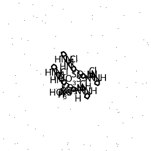 Cc1ccccc1Nc1nc(Cl)nc(Nc2ccc(C=Cc3ccc(Nc4nc(Cl)nc(Nc5ccccc5C)n4)cc3S(=O)(=O)O)c(S(=O)(=O)O)c2)n1.Cc1ccccc1Nc1nc(Cl)nc(Nc2ccc(C=Cc3ccc(Nc4nc(Cl)nc(Nc5ccccc5C)n4)cc3S(=O)(=O)O)c(S(=O)(=O)O)c2)n1.[H+].[H+].[Na+].[Na+]